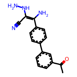 CC(=O)c1cccc(-c2ccc(/C(N)=C(\C#N)NN)cc2)c1